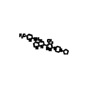 FC(F)(F)c1ccc(Nc2ccnc3nc(-c4nnc(N5CCN(C6CCCC6)CC5)cc4C(F)(F)F)cnc23)nc1